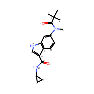 CN(C(=O)C(C)(C)C)c1ccc2c(C(=O)NC3CC3)c[nH]c2c1